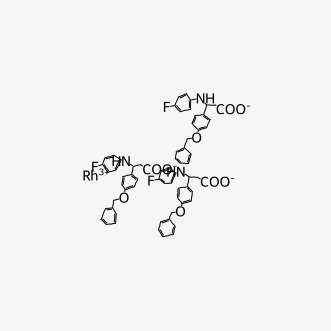 O=C([O-])CC(Nc1ccc(F)cc1)c1ccc(OCc2ccccc2)cc1.O=C([O-])CC(Nc1ccc(F)cc1)c1ccc(OCc2ccccc2)cc1.O=C([O-])CC(Nc1ccc(F)cc1)c1ccc(OCc2ccccc2)cc1.[Rh+3]